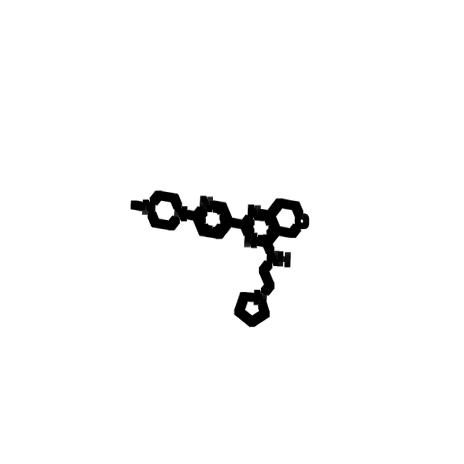 CN1CCN(c2ccc(-c3nc4c(c(NCCN5CCCC5)n3)COCC4)cn2)CC1